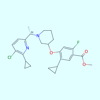 COC(=O)c1cc(C2CC2)c(OC2CCCN([C@@H](C)c3ccc(Cl)c(C4CC4)n3)C2)cc1F